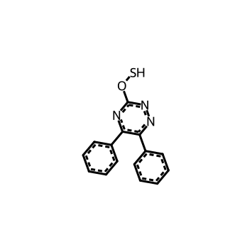 SOc1nnc(-c2ccccc2)c(-c2ccccc2)n1